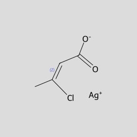 C/C(Cl)=C/C(=O)[O-].[Ag+]